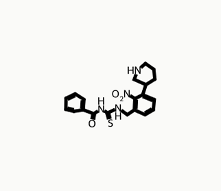 O=C(NC(=S)NCc1cccc(C2CCCNC2)c1[N+](=O)[O-])c1ccccc1